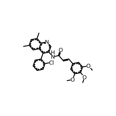 COc1cc(C=CC(=O)Nc2cnc3c(C)cc(C)cc3c2-c2ccccc2Cl)cc(OC)c1OC